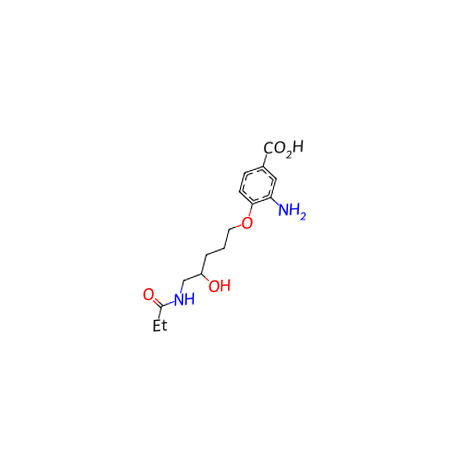 CCC(=O)NCC(O)CCCOc1ccc(C(=O)O)cc1N